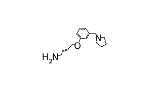 NC/C=C/COc1cccc(CN2CCCC2)c1